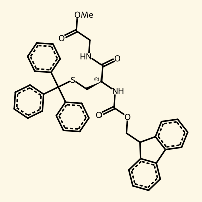 COC(=O)CNC(=O)[C@H](CSC(c1ccccc1)(c1ccccc1)c1ccccc1)NC(=O)OCC1c2ccccc2-c2ccccc21